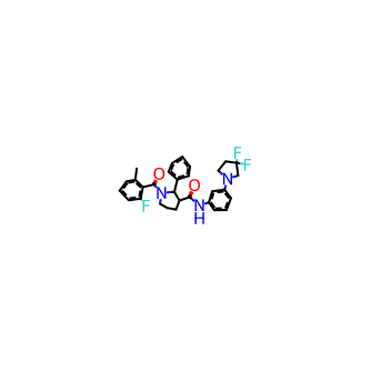 Cc1cccc(F)c1C(=O)N1CCCC(C(=O)Nc2cccc(N3CCC(F)(F)C3)c2)C1c1ccccc1